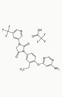 CCc1cc(N2C(=O)CN(c3cncc(C(F)(F)F)c3)C2=O)ccc1Oc1cc(N)ncn1.O=C(O)C(F)(F)F